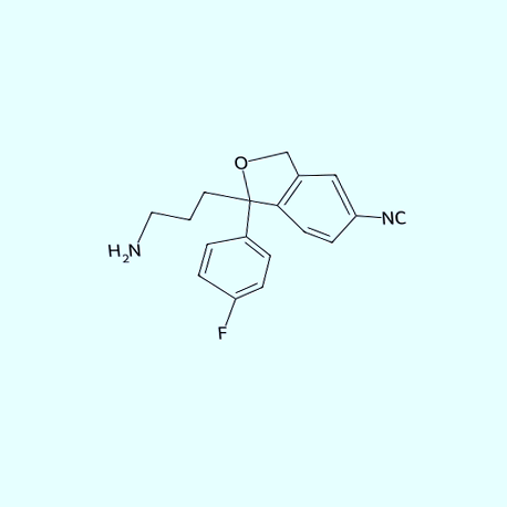 [C-]#[N+]c1ccc2c(c1)COC2(CCCN)c1ccc(F)cc1